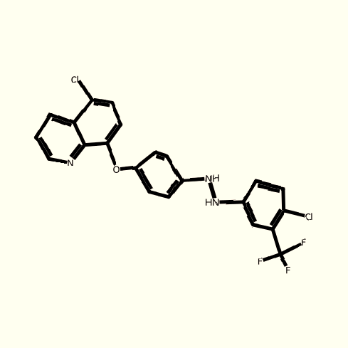 FC(F)(F)c1cc(NNc2ccc(Oc3ccc(Cl)c4cccnc34)cc2)ccc1Cl